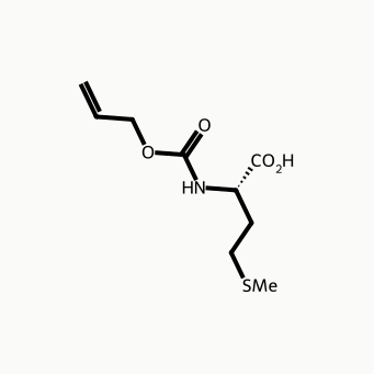 C=CCOC(=O)N[C@@H](CCSC)C(=O)O